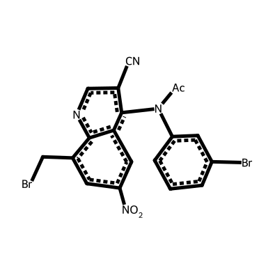 CC(=O)N(c1cccc(Br)c1)c1c(C#N)cnc2c(CBr)cc([N+](=O)[O-])cc12